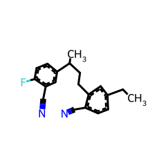 CCc1ccc(C#N)c(CCC(C)c2ccc(F)c(C#N)c2)c1